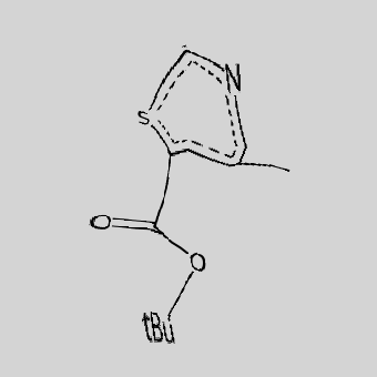 Cc1n[c]sc1C(=O)OC(C)(C)C